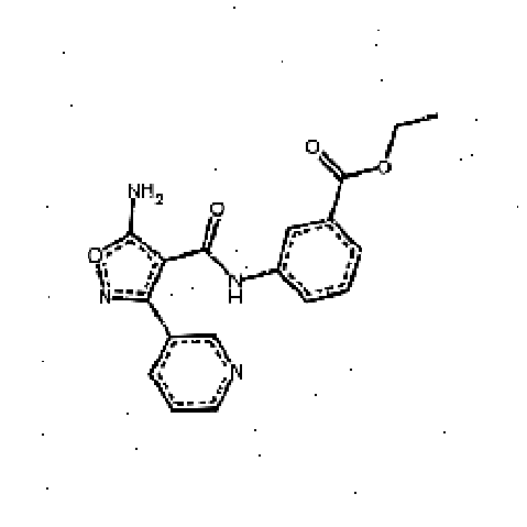 CCOC(=O)c1cccc(NC(=O)c2c(-c3cccnc3)noc2N)c1